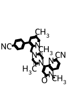 Cc1cnc(CN2C[C@H](C)N(c3cc(=O)n(C)c4ccc(C#N)nc34)C[C@H]2C)c(-c2ccc(C#N)cc2)c1